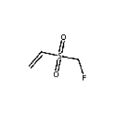 C=CS(=O)(=O)CF